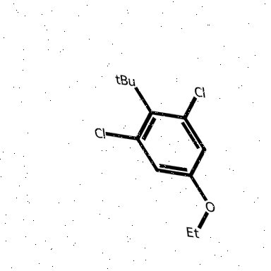 CCOc1cc(Cl)c(C(C)(C)C)c(Cl)c1